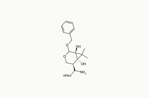 CCCCCCC(N)[C@H]1COC(OCc2ccccc2)[C@]2(O)C(C)(C)[C@@]12O